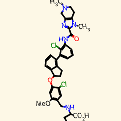 COc1cc(OC2CCc3c(-c4cccc(NC(=O)c5nc6c(n5C)CCN(C)C6)c4Cl)cccc32)c(Cl)cc1CNC(CC(C)C)C(=O)O